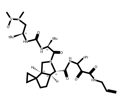 C=CCNC(=O)C(=O)C(CCC)NC(=O)[C@@H]1[C@H]2CCC3(CC3)[C@H]2CN1C(=O)[C@@H](NC(=O)N[C@H](CN(C)[S+](C)[O-])C(C)(C)C)C(C)(C)C